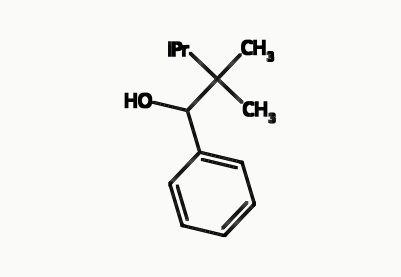 CC(C)C(C)(C)C(O)c1ccccc1